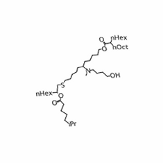 CCCCCCCCC(CCCCCC)C(=O)OCCCCCC(CCCCCSCC(CCCCCC)OC(=O)CCCCC(C)C)N(C)CCCCO